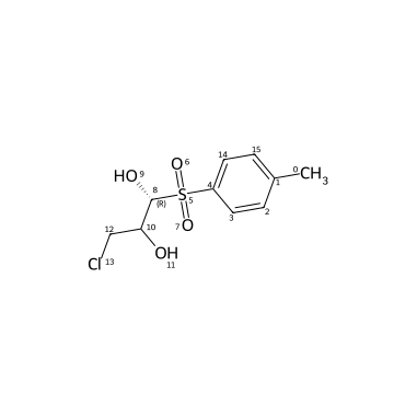 Cc1ccc(S(=O)(=O)[C@@H](O)C(O)CCl)cc1